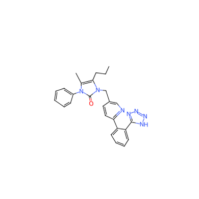 CCCc1c(C)n(-c2ccccc2)c(=O)n1Cc1ccc(-c2ccccc2-c2nnn[nH]2)nc1